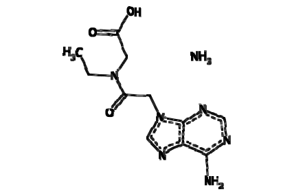 CCN(CC(=O)O)C(=O)Cn1cnc2c(N)ncnc21.N